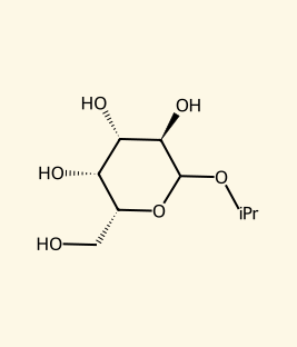 CC(C)OC1O[C@H](CO)[C@H](O)[C@H](O)[C@H]1O